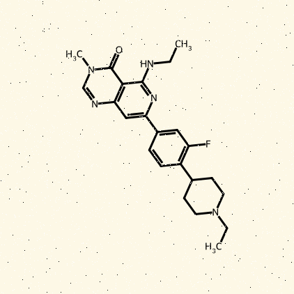 CCNc1nc(-c2ccc(C3CCN(CC)CC3)c(F)c2)cc2ncn(C)c(=O)c12